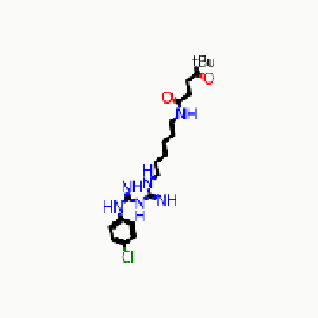 CC(C)(C)C(=O)CCC(=O)NCCCCCCNC(=N)NC(=N)Nc1ccc(Cl)cc1